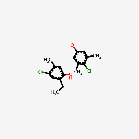 CCc1cc(Cl)c(C)cc1O.Cc1cc(O)cc(C)c1Cl